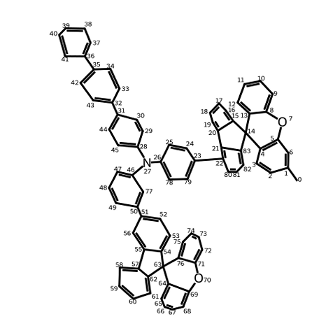 Cc1ccc2c(c1)Oc1ccccc1C21c2ccccc2-c2c(-c3ccc(N(c4ccc(-c5ccc(-c6ccccc6)cc5)cc4)c4cccc(-c5ccc6c(c5)-c5ccccc5C65c6ccccc6Oc6ccccc65)c4)cc3)cccc21